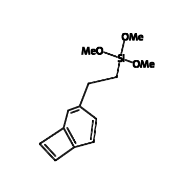 CO[Si](CCc1ccc2c(c1)C=C2)(OC)OC